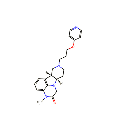 CN1C(=O)CN2c3c(cccc31)[C@@H]1CN(CCCOc3ccncc3)CC[C@@H]12